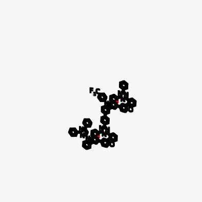 FC(F)(F)c1ccc(-n2c3ccc(-c4ccc(-c5nc(-c6ccccc6)nc(-c6cccc7oc8ccc(-c9ccc%10c(c9)c9ccccc9n%10-c9cc(-c%10ccccc%10)nc(-c%10ccccc%10)n9)cc8c67)n5)cc4)cc3c3cc(-c4ccc5oc6cccc(-c7nc(-c8ccccc8)nc(-c8ccccc8)n7)c6c5c4)ccc32)cc1